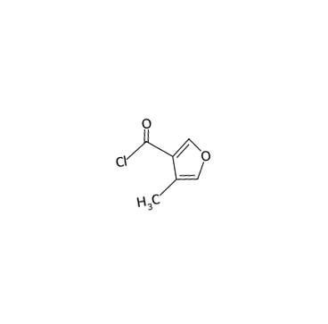 Cc1cocc1C(=O)Cl